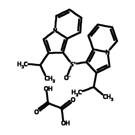 CC(C)c1cn2ccccc2c1[S+]([O-])c1c(C(C)C)cn2ccccc12.O=C(O)C(=O)O